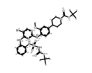 COc1cc(C2CCN(C(=O)OC(C)(C)C)CC2)ccc1Nc1ncc(Br)c(Nc2ccccc2NS(=O)(=O)NC(=O)OC(C)(C)C)n1